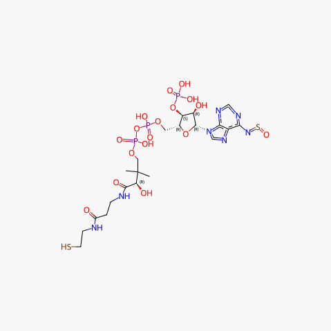 CC(C)(COP(=O)(O)OP(=O)(O)OC[C@H]1O[C@@H](n2cnc3c(N=S=O)ncnc32)[C@H](O)[C@@H]1OP(=O)(O)O)[C@@H](O)C(=O)NCCC(=O)NCCS